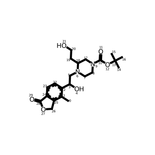 Cc1c(C(O)CN2CCN(C(=O)OC(C)(C)C)CC2CCO)ccc2c1COC2=O